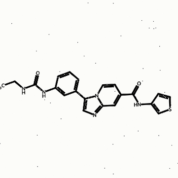 O=C(NCC(F)(F)F)Nc1cccc(-c2cnc3cc(C(=O)Nc4ccsc4)ccn23)c1